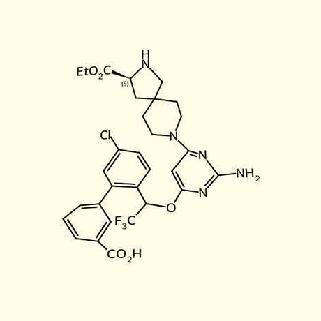 CCOC(=O)[C@@H]1CC2(CCN(c3cc(OC(c4ccc(Cl)cc4-c4cccc(C(=O)O)c4)C(F)(F)F)nc(N)n3)CC2)CN1